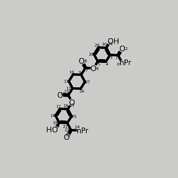 CCCC(=O)c1cc(OC(=O)C2CCC(C(=O)Oc3ccc(O)c(C(=O)CCC)c3)CC2)ccc1O